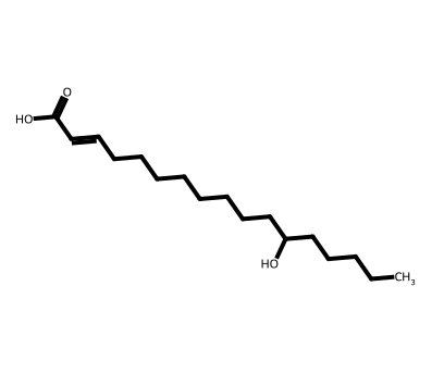 CCCCCC(O)CCCCCCCCC=CC(=O)O